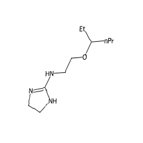 CCCC(CC)OCCNC1=NCCN1